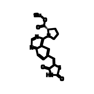 CC(C)(C)OC(=O)[C@@H]1CCCN1c1ncnc2ccc(C=C3SC(=O)NC3=O)cc12